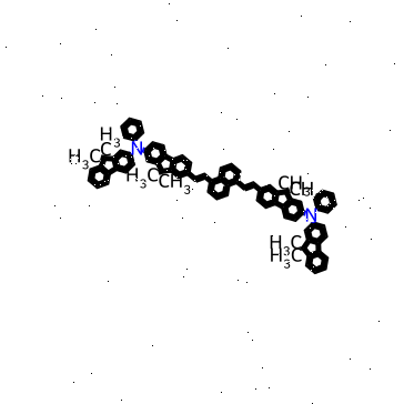 CC1(C)c2ccccc2-c2ccc(N(c3ccccc3)c3ccc4c(c3)C(C)(C)c3cc(/C=C/c5cccc6c(/C=C/c7ccc8c(c7)C(C)(C)c7cc(N(c9ccccc9)c9ccc%10c(c9)C(C)(C)c9ccccc9-%10)ccc7-8)cccc56)ccc3-4)cc21